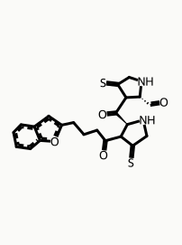 O=C[C@H]1NCC(=S)C1C(=O)[C@H]1NCC(=S)C1C(=O)CCCc1cc2ccccc2o1